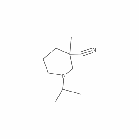 CC(C)N1CCCC(C)(C#N)C1